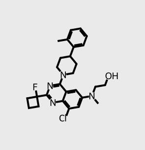 Cc1ccccc1C1CCN(c2nc(C3(F)CCC3)nc3c(Cl)cc(N(C)CCO)cc23)CC1